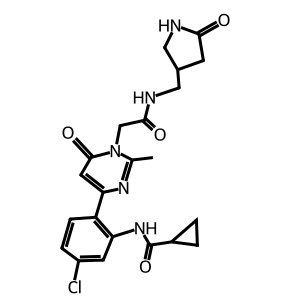 Cc1nc(-c2ccc(Cl)cc2NC(=O)C2CC2)cc(=O)n1CC(=O)NCC1CNC(=O)C1